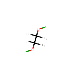 FOC(C(F)(F)F)(C(F)(F)F)C(OF)(C(F)(F)F)C(F)(F)F